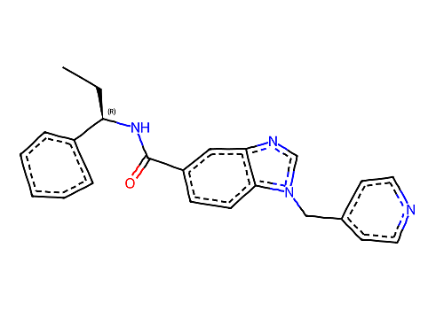 CC[C@@H](NC(=O)c1ccc2c(c1)ncn2Cc1ccncc1)c1ccccc1